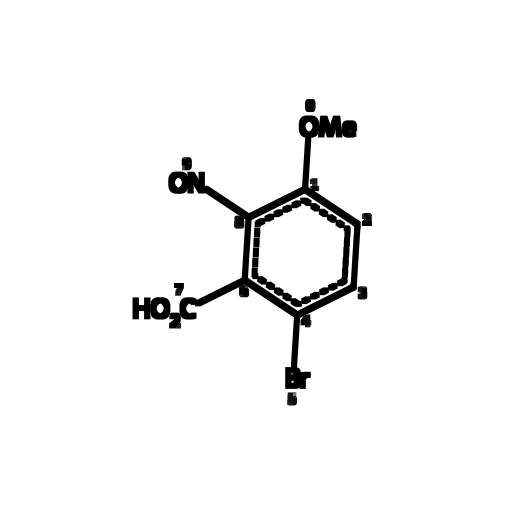 COc1ccc(Br)c(C(=O)O)c1N=O